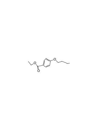 CCCCOc1ccc(C(=O)OCC)cc1